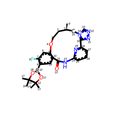 C[C@@H]1CCOc2cc(F)c(B3OC(C)(C)C(C)(C)O3)cc2C(=O)Nc2cccc(n2)-c2nncn2C1